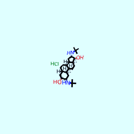 CC(C)(C)N[C@H]1C[C@H]2[C@@H]3CC[C@H]4C[C@H](O)[C@@H](NC(C)(C)C)C[C@]4(C)[C@H]3CC[C@]2(C)[C@@H]1O.Cl